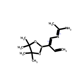 C=C/C(=C\N=C(/C)N)B1OC(C)(C)C(C)(C)O1